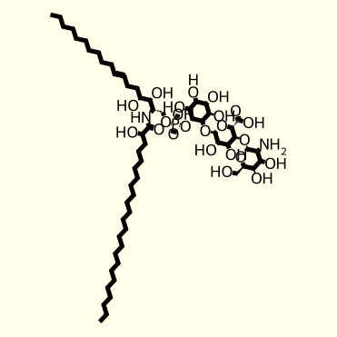 CCCCCCCCCC/C=C/CC[C@@H](O)[C@@H](O)[C@H](COP(=O)(O)O[C@H]1C(O)C(O)C(O)[C@@H](O)C1O[C@H]1O[C@H](C(=O)O)[C@@H](O[C@H]2O[C@H](CO)[C@@H](O)C(O)C2N)C(O)C1O)NC(=O)C(O)CCCCCCCCCCCCCCCCCCCCCC